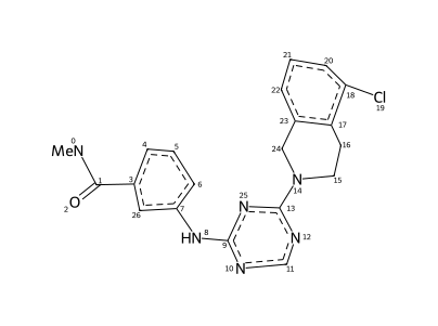 CNC(=O)c1cccc(Nc2ncnc(N3CCc4c(Cl)cccc4C3)n2)c1